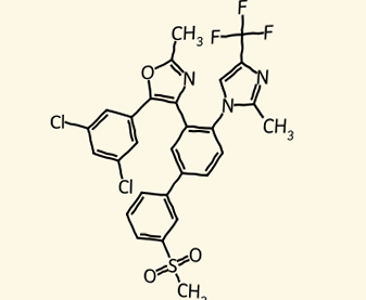 Cc1nc(-c2cc(-c3cccc(S(C)(=O)=O)c3)ccc2-n2cc(C(F)(F)F)nc2C)c(-c2cc(Cl)cc(Cl)c2)o1